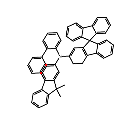 CC1(C)c2ccccc2-c2ccc(N(C3=CC4=C(CC3)c3ccccc3C43c4ccccc4-c4ccccc43)c3ccccc3-c3c#cccc3)cc21